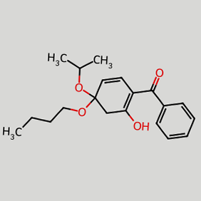 CCCCOC1(OC(C)C)C=CC(C(=O)c2ccccc2)=C(O)C1